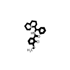 COc1cccc(C(=O)NC(c2ccccc2)C2CCCC3CCCCN32)c1Cl